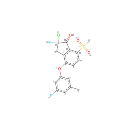 [CH2]c1cc(F)cc(Oc2ccc(S(C)(=O)=O)c3c2CC(F)(Cl)C3=O)c1